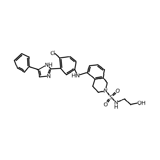 O=S(=O)(NCCO)N1CCc2c(cccc2Nc2ccc(Cl)c(-c3ncc(-c4ccccc4)[nH]3)c2)C1